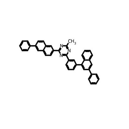 Cc1nc(-c2cccc(-c3cc(-c4ccccc4)cc4ccccc34)c2)nc(-c2ccc3cc(-c4ccccc4)ccc3c2)n1